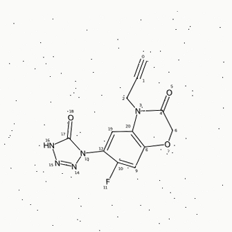 C#CCN1C(=O)COc2cc(F)c(-n3nn[nH]c3=O)cc21